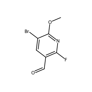 COc1nc(F)c(C=O)cc1Br